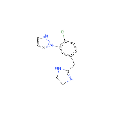 Clc1ccc(CC2=NCCN2)cc1-n1cccn1